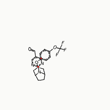 O=Cc1cnc(N2C3CCC2CC(Oc2ccc(OC(F)(F)F)cc2)C3)nc1